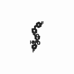 O=C(Nc1ccc(F)cc1)N1CCO[C@H](CN2CCC(Cc3ccc(F)cc3)CC2)C1